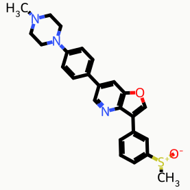 CN1CCN(c2ccc(-c3cnc4c(-c5cccc([S+](C)[O-])c5)coc4c3)cc2)CC1